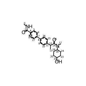 CNC(=O)c1ccc(-c2ccc(C(C)C(=O)N(C)C3CCC(O)CC3)cc2)cn1